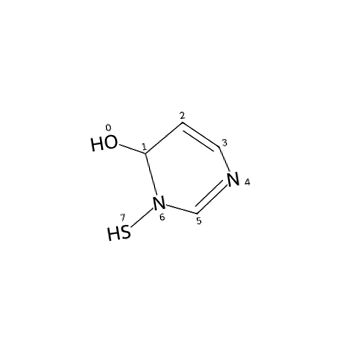 OC1C=CN=CN1S